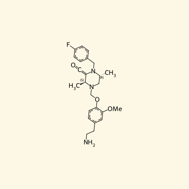 COc1cc(CCN)ccc1OCN1C[C@@H](C)N(Cc2ccc(F)cc2)C(=C=O)[C@@H]1C